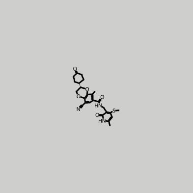 CSc1cc(C)[nH]c(=O)c1CNC(=O)c1cc(C#N)c2c(c1C)O[C@@H](C1CCC(=O)CC1)CO2